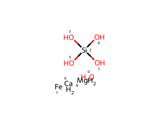 O.O[Si](O)(O)O.[CaH2].[Fe].[MgH2]